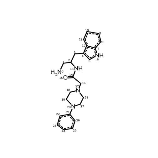 NCC(Cc1c[nH]c2ccccc12)NC(=O)CN1CCN(c2ccccc2)CC1